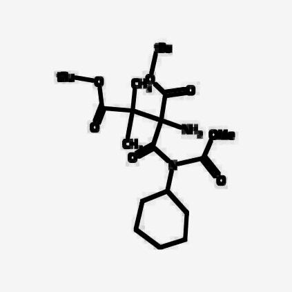 COC(=O)N(C(=O)C(N)(C(=O)OC(C)(C)C)C(C)(C)C(=O)OC(C)(C)C)C1CCCCC1